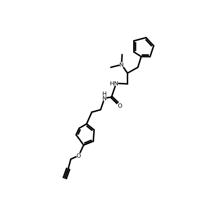 C#CCOc1ccc(CCNC(=O)NCC(Cc2ccccc2)N(C)C)cc1